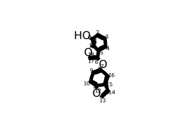 Oc1cccc2c(Oc3ccc4occc4c3)coc12